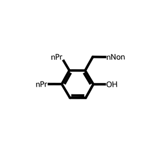 CCCCCCCCCCc1c(O)ccc(CCC)c1CCC